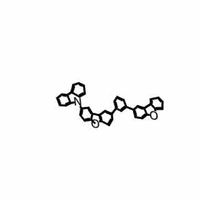 c1cc(-c2ccc3oc4ccccc4c3c2)cc(-c2ccc3oc4ccc(-n5c6ccccc6c6ccccc65)cc4c3c2)c1